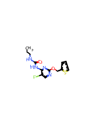 CCCNC(=O)Nc1nc(OCc2cccs2)ncc1F